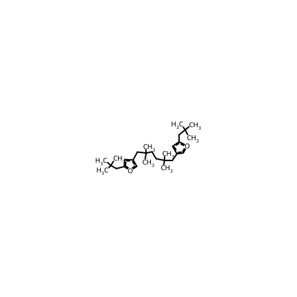 CC(C)(C)Cc1cc(CC(C)(C)CCC(C)(C)Cc2coc(CC(C)(C)C)c2)co1